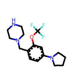 FC(F)(F)Oc1cc(N2CCCC2)ccc1CN1CCNCC1